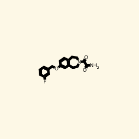 NC(=O)C(=O)N1CCc2ccc(OCc3cccc(F)c3)cc2CC1